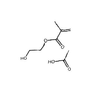 C=C(C)C(=O)OCCO.CC(=O)O